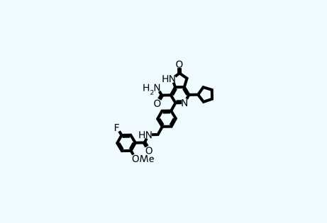 COc1ccc(F)cc1C(=O)NCc1ccc(-c2nc(C3CCCC3)c3c(c2C(N)=O)NC(=O)C3)cc1